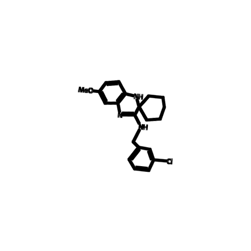 COc1ccc2c(c1)N=C(NCc1cccc(Cl)c1)C1(CCCCC1)N2